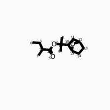 CCC(C)C(=O)OC(C)(C)C1CC2CCC1O2